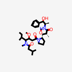 CCC(C)C(C(CC(=O)N1CCC[C@H]1C(OC)[C@@H](C)C(=O)N[C@H](C)C(O)c1ccccc1)OC)N(C)C(=O)CC(C)C